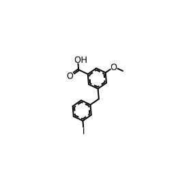 COc1cc(Cc2cccc(I)c2)cc(C(=O)O)c1